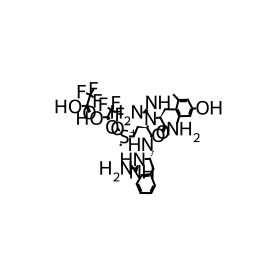 Cc1cc(O)cc(C)c1C[C@@H](C(N)=O)N(C(=N)N)[C@H](CC[S+](C)[O-])C(=O)NC[C@H](Cc1ccccc1)NC(=N)N.O=C(O)C(F)(F)F.O=C(O)C(F)(F)F